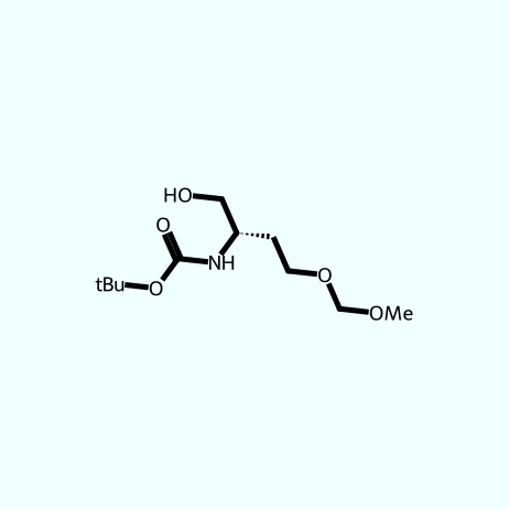 COCOCC[C@@H](CO)NC(=O)OC(C)(C)C